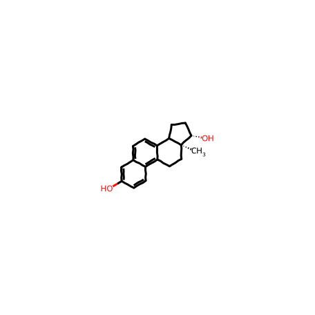 C[C@]12CCc3c(ccc4cc(O)ccc34)C1CC[C@@H]2O